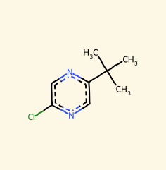 CC(C)(C)c1cnc(Cl)cn1